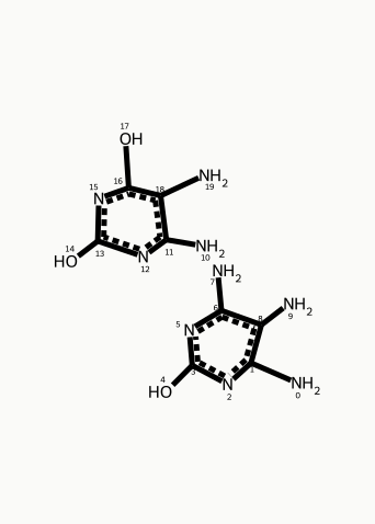 Nc1nc(O)nc(N)c1N.Nc1nc(O)nc(O)c1N